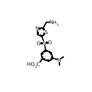 CN(C)c1cc(C(=O)O)cc(S(=O)(=O)c2cnc(CN)s2)c1